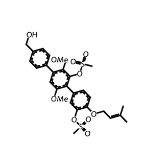 COc1cc(-c2ccc(CO)cc2)c(OC)c(OS(C)(=O)=O)c1-c1ccc(OCC=C(C)C)c(OS(C)(=O)=O)c1